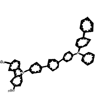 CCCCc1ccc2c(c1)c1cc(CCCC)ccc1n2-c1ccc(-c2ccc(-c3ccc(N(c4ccccc4)c4ccc(-c5ccccc5)cc4)cc3)cc2)cc1